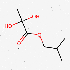 CC(C)COC(=O)C(C)(O)O